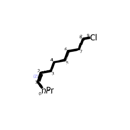 CCC/C=C\CCCCCCCl